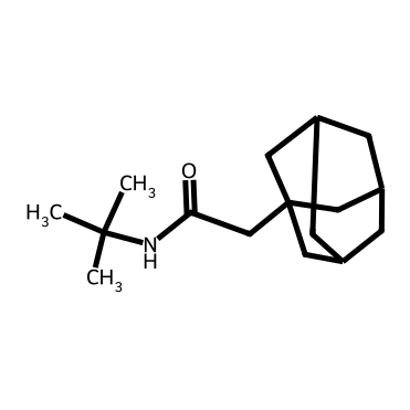 CC(C)(C)NC(=O)CC12CC3CC(CC(C3)C1)C2